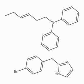 Brc1ccc(Cc2ncc[nH]2)cc1.CCC=CCCB(c1ccccc1)c1ccccc1